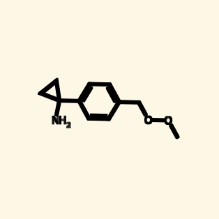 COOCc1ccc(C2(N)CC2)cc1